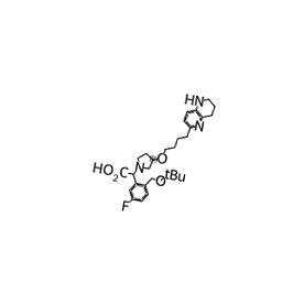 CC(C)(C)OCc1ccc(F)cc1C(C(=O)O)N1CC[C@@H](OCCCCc2ccc3c(n2)CCCN3)C1